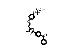 Cc1oc(-c2ccc(C(=O)c3ccccc3)cc2)nc1CCOc1ccc(OC(C)(C)C(=O)O)cc1